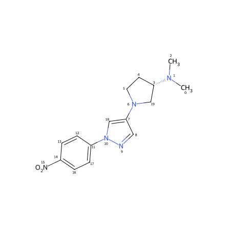 CN(C)[C@H]1CCN(c2cnn(-c3ccc([N+](=O)[O-])cc3)c2)C1